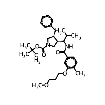 COCCCOc1cc(C(=O)NC(C(C)C)[C@H]2CN(C(=O)OC(C)(C)C)C[C@H]2Cc2ccccc2)ccc1C